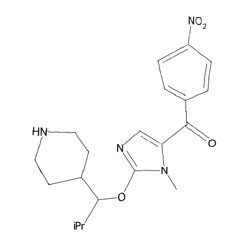 CC(C)C(Oc1ncc(C(=O)c2ccc([N+](=O)[O-])cc2)n1C)C1CCNCC1